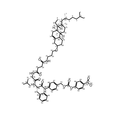 CC(C)CCC[C@@H](C)[C@H]1CC[C@H]2[C@@H]3CC=C4CC(OCCCNC(=O)CCC(=O)N[C@@H](CC(C)C)C(=O)N[C@@H](Cc5ccccc5)C(=O)Nc5ccc(COC(=O)Oc6ccc([N+](=O)[O-])cc6)cc5)CC[C@]4(C)[C@H]3CC[C@]12C